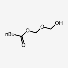 CCCCC(=O)OCOCO